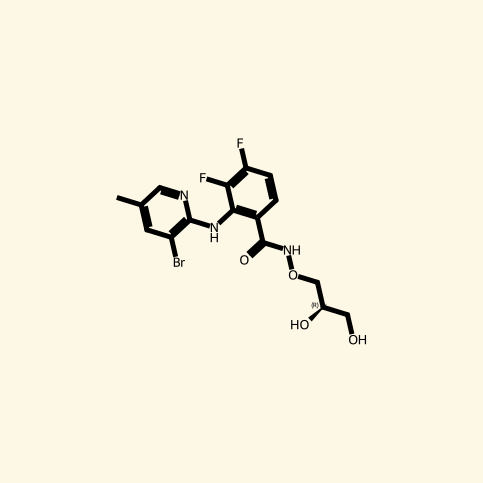 Cc1cnc(Nc2c(C(=O)NOC[C@H](O)CO)ccc(F)c2F)c(Br)c1